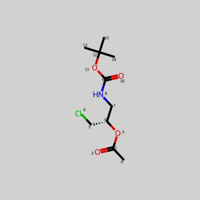 CC(=O)O[C@H](CCl)CNC(=O)OC(C)(C)C